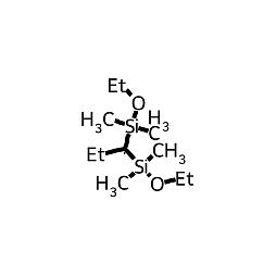 CCO[Si](C)(C)[C](CC)[Si](C)(C)OCC